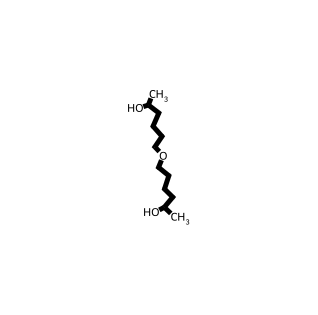 CC(O)CCCCOCCCCC(C)O